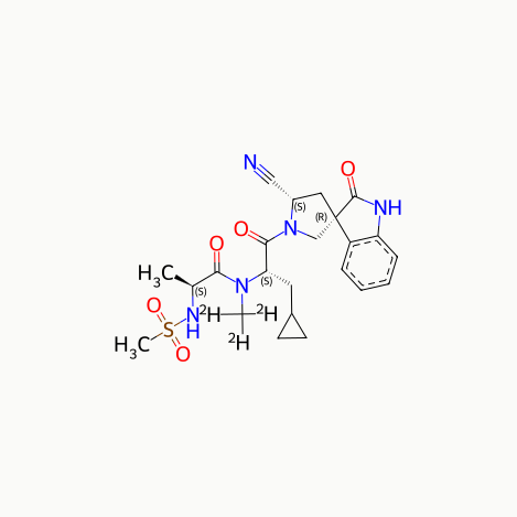 [2H]C([2H])([2H])N(C(=O)[C@H](C)NS(C)(=O)=O)[C@@H](CC1CC1)C(=O)N1C[C@]2(C[C@H]1C#N)C(=O)Nc1ccccc12